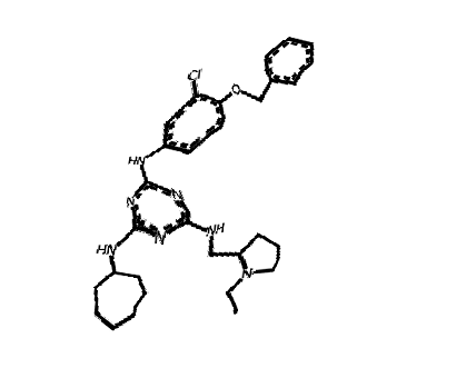 CCN1CCCC1CNc1nc(Nc2ccc(OCc3ccccc3)c(Cl)c2)nc(NC2CCCCCC2)n1